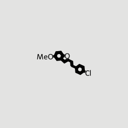 COc1ccc2oc(C=Cc3ccc(Cl)cc3)cc2c1